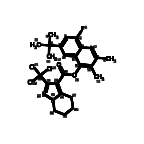 Cc1nc2c(F)cc(C(C)(C)C)cc2c(OC(=O)c2c(C(Cl)(Cl)Cl)nn3c2CCCC3)c1C